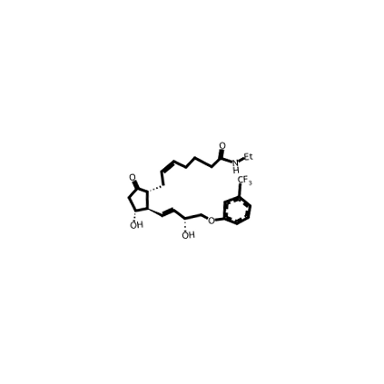 CCNC(=O)CCC/C=C\C[C@H]1C(=O)C[C@@H](O)[C@@H]1/C=C/[C@@H](O)COc1cccc(C(F)(F)F)c1